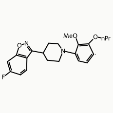 CCCOc1[c]ccc(N2CCC(c3noc4cc(F)ccc34)CC2)c1OC